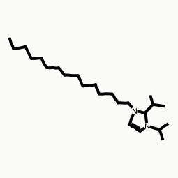 CCCCCCCCCCCCCCCN1C=CN(C(C)C)C1C(C)C